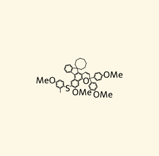 COc1ccc(C2(c3ccc(OC)cc3)C=Cc3c4c(c5cc(Sc6ccc(OC)cc6C)c(OC)cc5c3O2)-c2ccccc2C42CCCCCCC2)cc1